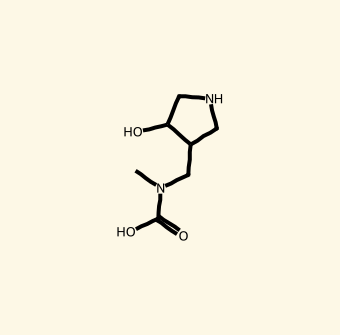 CN(CC1CNCC1O)C(=O)O